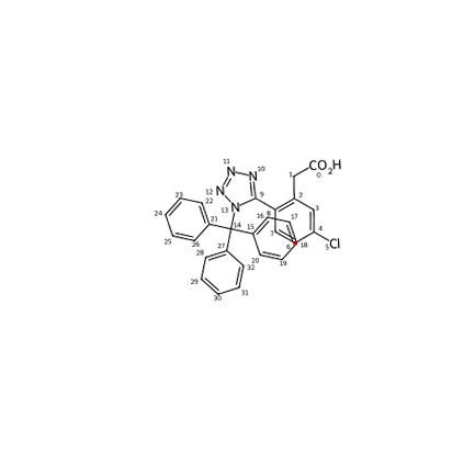 O=C(O)Cc1cc(Cl)ccc1-c1nnnn1C(c1ccccc1)(c1ccccc1)c1ccccc1